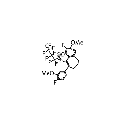 COc1cc(C2=C(OS(=O)(=O)C(F)(F)C(F)(F)C(F)(F)C(F)(F)F)c3cc(F)c(OC)cc3CCC2)ccc1F